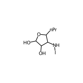 CCCC1OC(O)C(O)C1NI